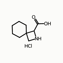 Cl.O=C(O)C1NCC12CCCCC2